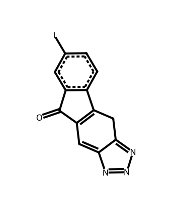 O=C1C2=C(CC3=NN=NC3=C2)c2ccc(I)cc21